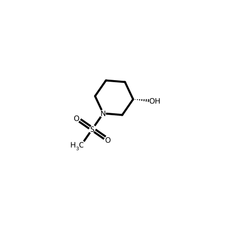 CS(=O)(=O)N1CCC[C@H](O)C1